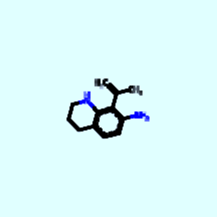 C=C(C)c1c(N)ccc2c1NCCC2